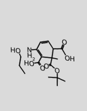 CC(C)(C)OC(=O)C1(C)C(C(=O)O)=C(N)C=CC1C(=O)O.CCCO